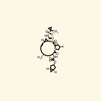 C[C@@H]1CC/C=C\[C@@H]2C[C@@]2(C(=O)NS(=O)(=O)C2(C)CC2)NC(=O)[C@@H]2C[C@@H](I)CN2C(=O)[C@@H](NC(=O)O[C@@H]2C[C@@H]3C[C@@H]3C2)[C@H](C)C1